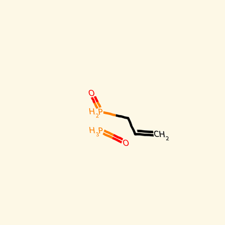 C=CC[PH2]=O.O=[PH3]